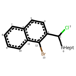 CCCCCCCC(Cl)c1ccc2ccccc2c1Br